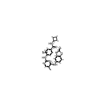 Cc1cnc(Nc2ccc(C(=O)NC3CCC3)cc2)nc1Nc1ccc2c(c1)[N]C(=O)O2.[NaH]